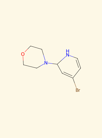 BrC1=CC(N2CCOCC2)NC=C1